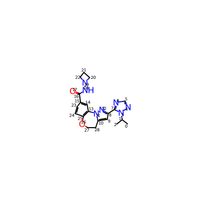 CC(C)n1ncnc1-c1cc2n(n1)-c1cc(C(=O)NN3CCC3)ccc1OCC2